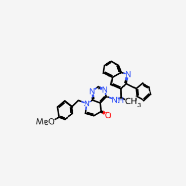 COc1ccc(Cn2ccc(=O)c3c(NC(C)c4cc5ccccc5nc4-c4ccccc4)ncnc32)cc1